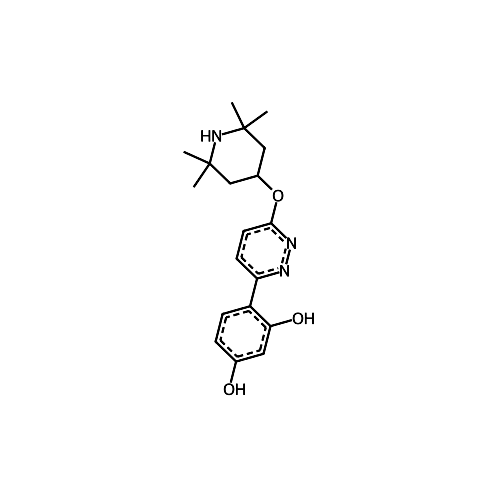 CC1(C)CC(Oc2ccc(-c3ccc(O)cc3O)nn2)CC(C)(C)N1